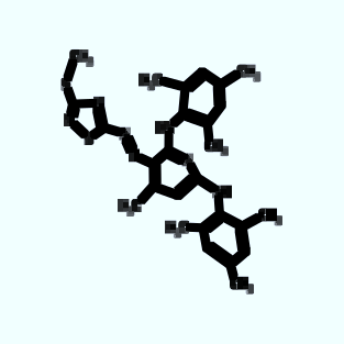 CSc1nsc(N=Nc2c(C)cc(Nc3c(C)cc(C)cc3C)nc2Nc2c(C)cc(C)cc2C)n1